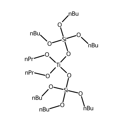 CCCCO[Si](OCCCC)(OCCCC)[O][Ti]([O]CCC)([O]CCC)[O][Si](OCCCC)(OCCCC)OCCCC